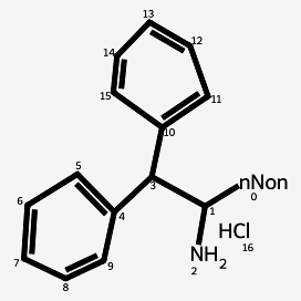 CCCCCCCCCC(N)C(c1ccccc1)c1ccccc1.Cl